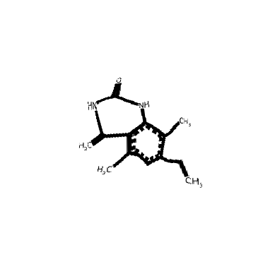 C=C1NC(=O)Nc2c(C)c(CC)cc(C)c21